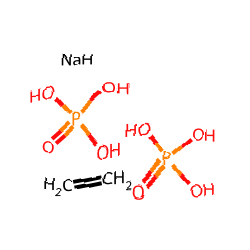 C=C.O=P(O)(O)O.O=P(O)(O)O.[NaH]